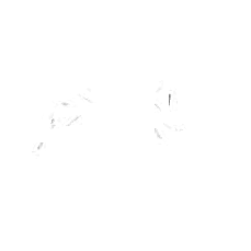 N#Cc1cc(F)c2nc(C3(O)CCC(OCc4c(-c5ccccc5OC(F)F)noc4C4CC4)CC3)sc2c1